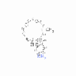 CC1CCCCCCCCCCC(C)CC(Cc2ccc(N)cc2)C1